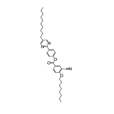 CCCCCCCCCCc1cnc(-c2ccc(OC(=O)c3ccc(OCCCCCCCC)c(C#N)c3)cc2)nc1